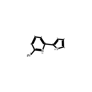 CC(C)c1cccc(-c2cccs2)n1